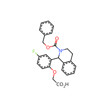 O=C(O)COc1ccc(F)cc1C1c2ccccc2CCN1C(=O)OCc1ccccc1